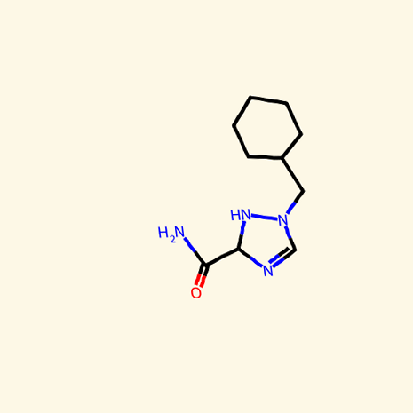 NC(=O)C1N=CN(CC2CCCCC2)N1